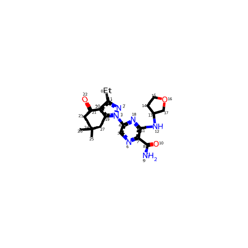 CCc1nn(-c2cnc(C(N)=O)c(NC3CCOC3)n2)c2c1C(=O)CC(C)(C)C2